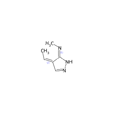 C/C=C1/C=NN/C1=N/C